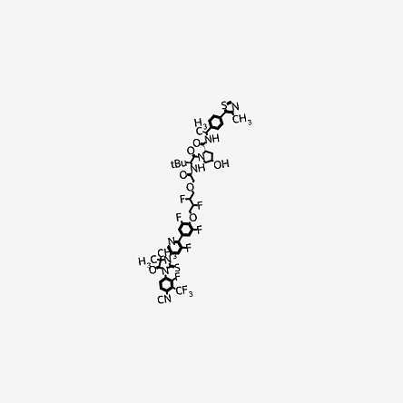 Cc1ncsc1-c1ccc([C@H](C)NC(=O)[C@@H]2C[C@@H](O)CN2C(=O)[C@@H](NC(=O)COCC(F)C(F)COc2c(F)cc(-c3ncc(N4C(=S)N(c5ccc(C#N)c(C(F)(F)F)c5F)C(=O)C4(C)C)cc3F)cc2F)C(C)(C)C)cc1